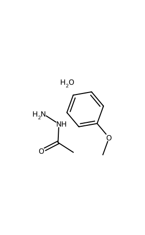 CC(=O)NN.COc1ccccc1.O